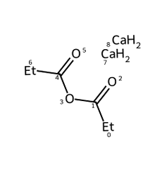 CCC(=O)OC(=O)CC.[CaH2].[CaH2]